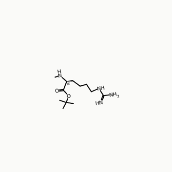 CN[C@@H](CCCCNC(=N)N)C(=O)OC(C)(C)C